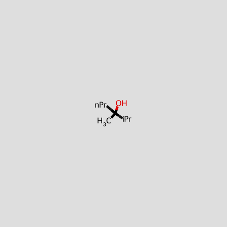 CCCC(C)(O)C(C)C